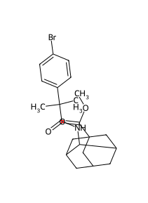 COC(=O)C12CC3CC(C1)C(NC(=O)C(C)(C)c1ccc(Br)cc1)C(C3)C2